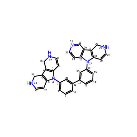 C1=Cc2c(c3c(n2-c2cccc(-c4cccc(-n5c6c(c7cnccc75)CNC=C6)c4)c2)C=CNC3)CN1